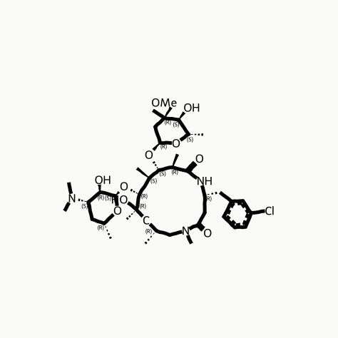 CO[C@]1(C)C[C@H](O[C@H]2[C@H](C)[C@@H](O[C@@H]3O[C@H](C)C[C@H](N(C)C)[C@H]3O)[C@](C)(O)C[C@@H](C)CN(C)C(=O)C[C@@H](Cc3cccc(Cl)c3)NC(=O)[C@@H]2C)O[C@@H](C)[C@@H]1O